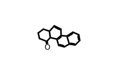 O=C1CCCC2C=Cc3c(ccc4ccccc34)C12